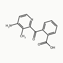 Cc1c(N)ccnc1C(=O)c1ccccc1C(=O)O